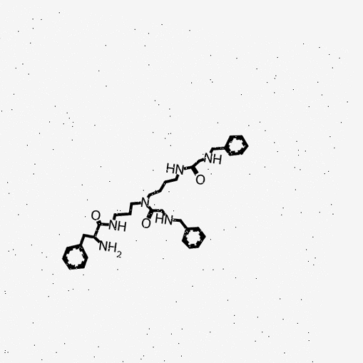 NC(Cc1ccccc1)C(=O)NCCCN(CCCCNC(=O)CNCc1ccccc1)C(=O)CNCc1ccccc1